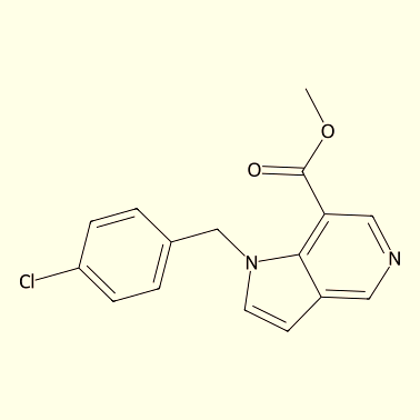 COC(=O)c1cncc2ccn(Cc3ccc(Cl)cc3)c12